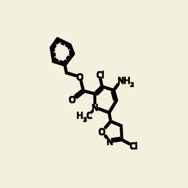 CN1C(C(=O)OCc2ccccc2)=C(Cl)C(N)=CC1C1CC(Cl)=NO1